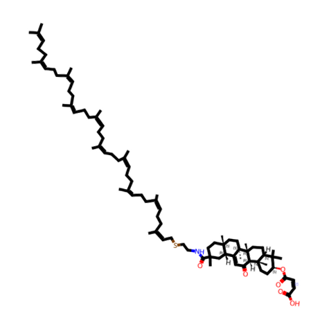 CC(C)=CCCC(C)=CCCC(C)=CCCC(C)=CCCC(C)=CCCC(C)=CCCC(C)=CCCC(C)=CCCC(C)=CCCC(C)=CCSCCNC(=O)C1(C)CC[C@]2(C)CC[C@]3(C)C(=CC(=O)[C@@H]4[C@@]5(C)CC[C@H](OC(=O)/C=C\C(=O)O)C(C)(C)[C@H]5CC[C@]43C)[C@@H]2C1